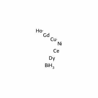 [BiH3].[Ce].[Cu].[Dy].[Gd].[Ho].[Ni]